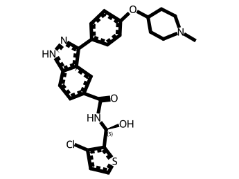 CN1CCC(Oc2ccc(-c3n[nH]c4ccc(C(=O)N[C@@H](O)c5sccc5Cl)cc34)cc2)CC1